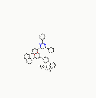 CC1(C)c2ccccc2-c2ccc(-c3cccc(-c4cccc5cccc(-c6ccc(-c7cc(-c8ccccc8)nc(-c8ccccc8)n7)cc6)c45)c3)cc21